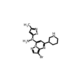 Cc1cc(N(N)c2cc(C3CCCNC3)nc3c(Br)cnn23)sn1